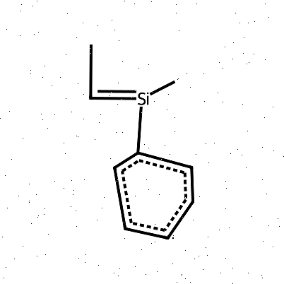 CC=[Si](C)c1cc[c]cc1